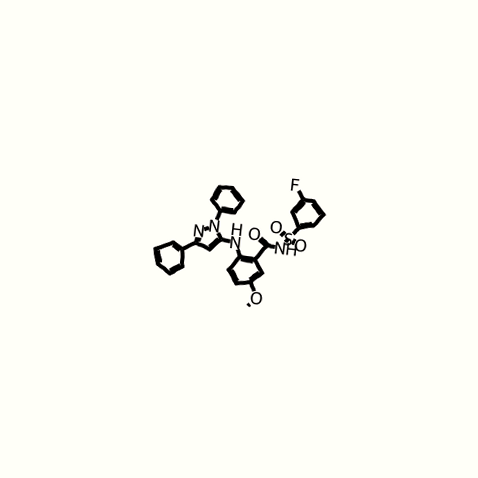 COc1ccc(Nc2cc(-c3ccccc3)nn2-c2ccccc2)c(C(=O)NS(=O)(=O)c2cccc(F)c2)c1